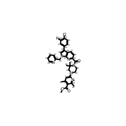 COC(=O)c1c(C)cc(N2CCN(C(=O)c3ccc4c(-c5ccc(Cl)c(F)c5)cn(Cc5ccccn5)c4n3)C(C)(C)C2)nc1C